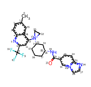 Cc1ccc2nc(C(F)(F)F)cc([N+]3([C@H]4CCC[C@@H](NC(=O)c5ccc6nccn6c5)C4)CC3)c2c1